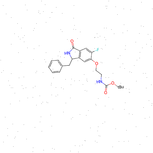 CC(C)(C)OC(=O)NCCOc1cc2c(cc1F)C(=O)NC2Cc1ccccc1